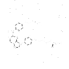 NCCCc1ccc(Nc2ncc3ncn(-c4ccc(OCCCCC(=O)O)cc4)c3n2)cc1